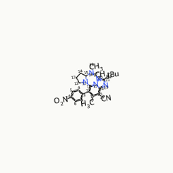 Cc1c(-c2ccc([N+](=O)[O-])cc2)c(N2CCCC2N(C)C)n2nc(C(C)(C)C)nc2c1C#N